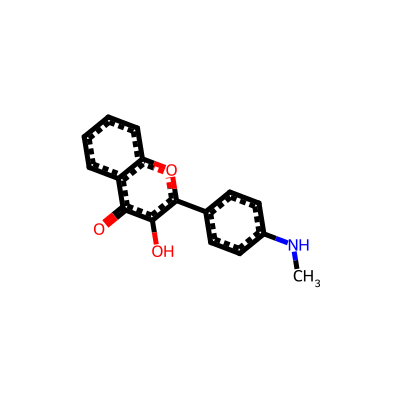 CNc1ccc(-c2oc3ccccc3c(=O)c2O)cc1